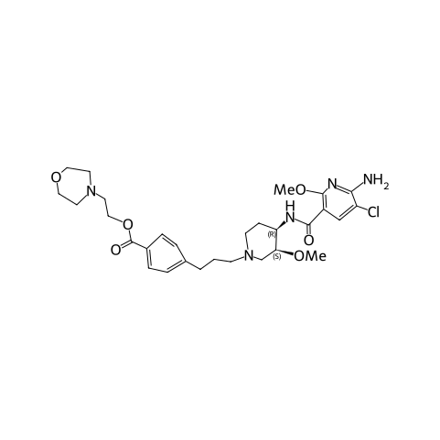 COc1nc(N)c(Cl)cc1C(=O)N[C@@H]1CCN(CCCc2ccc(C(=O)OCCN3CCOCC3)cc2)C[C@@H]1OC